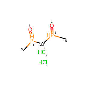 C[PH](=O)[Zr][PH](C)=O.Cl.Cl